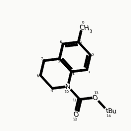 Cc1ccc2c(c1)CCCN2C(=O)OC(C)(C)C